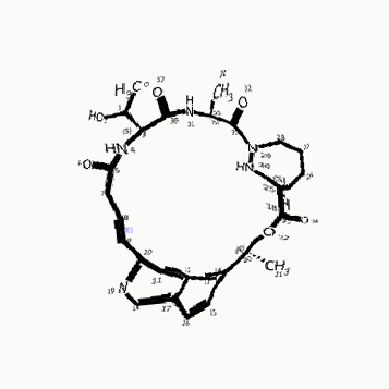 CC(O)[C@@H]1NC(=O)C/C=C/c2cc3cc(ccc3cn2)[C@@H](C)OC(=O)[C@@H]2CCCN(N2)C(=O)[C@H](C)NC1=O